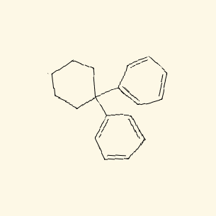 [CH]1CCC(c2ccccc2)(c2ccccc2)CC1